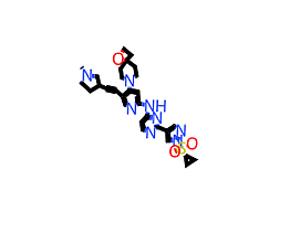 CN1CCC(C#Cc2cnc(Nc3ccnc(-c4cnn(S(=O)(=O)C5CC5)c4)n3)cc2N2CCC3(CCO3)CC2)C1